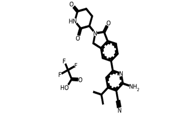 CC(C)c1cc(-c2ccc3c(c2)CN(C2CCC(=O)NC2=O)C3=O)nc(N)c1C#N.O=C(O)C(F)(F)F